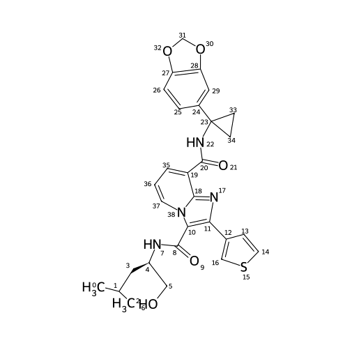 CC(C)C[C@H](CO)NC(=O)c1c(-c2ccsc2)nc2c(C(=O)NC3(c4ccc5c(c4)OCO5)CC3)cccn12